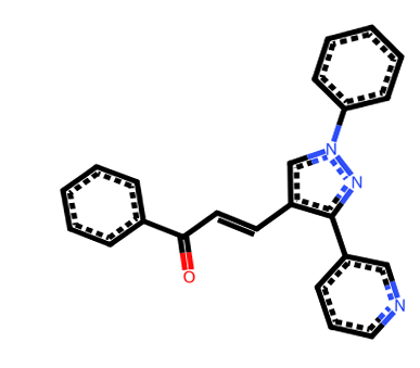 O=C(C=Cc1cn(-c2ccccc2)nc1-c1cccnc1)c1ccccc1